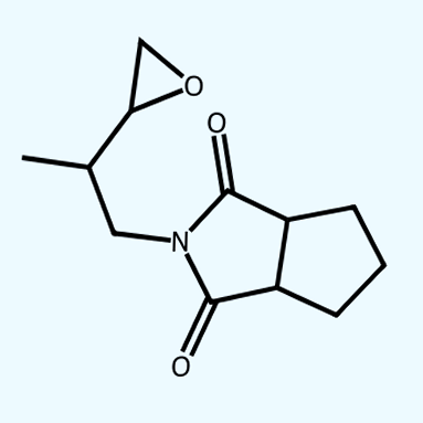 CC(CN1C(=O)C2CCCC2C1=O)C1CO1